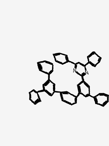 c1ccc(-c2cc(-c3ccccc3)cc(-c3cccc(-c4cc(-c5ccccc5)cc(-c5nc(-c6ccccc6)cc(-c6ccccc6)n5)c4)c3)c2)cc1